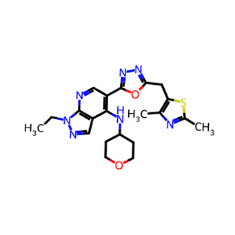 CCn1ncc2c(NC3CCOCC3)c(-c3nnc(Cc4sc(C)nc4C)o3)cnc21